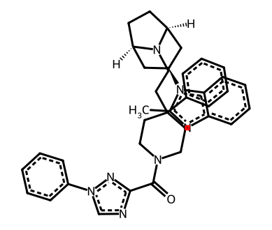 Cc1nc2ccccc2n1[C@H]1C[C@H]2CC[C@@H](C1)N2CCC1(c2ccccc2)CCN(C(=O)c2ncn(-c3ccccc3)n2)CC1